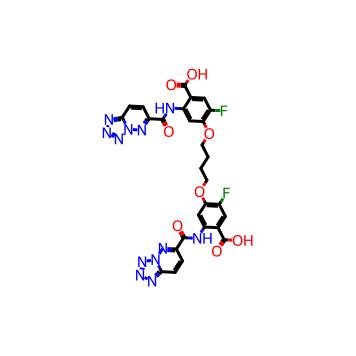 O=C(Nc1cc(OCCCCOc2cc(NC(=O)c3ccc4nnnn4n3)c(C(=O)O)cc2F)c(F)cc1C(=O)O)c1ccc2nnnn2n1